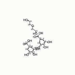 O=C(O)c1cc(O)c(O)c(O)c1.O=C(O)c1cc(O)c(O)c(O)c1.OCCOCCO